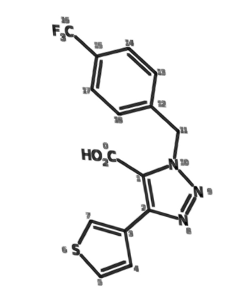 O=C(O)c1c(-c2ccsc2)nnn1Cc1ccc(C(F)(F)F)cc1